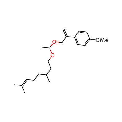 C=C(COC(C)OCCC(C)CCC=C(C)C)c1ccc(OC)cc1